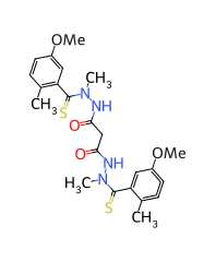 COC1=C=C=C(C)C(C(=S)N(C)NC(=O)CC(=O)NN(C)C(=S)c2cc(OC)ccc2C)=C1